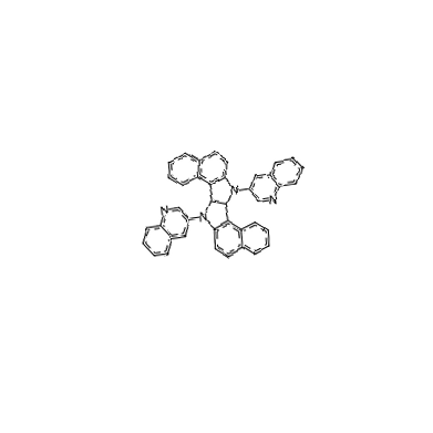 c1ccc2ncc(N3c4ccc5ccccc5c4C4C3c3c(ccc5ccccc35)N4c3cnc4ccccc4c3)cc2c1